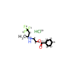 CC(CC(F)(F)F)NCCOC(=O)c1ccccc1.Cl